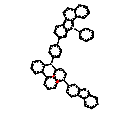 c1ccc(-c2ccccc2N(c2ccc(-c3ccc4c(c3)sc3ccccc34)cc2)c2ccc(-c3ccc4c5ccc6ccccc6c5n(-c5ccccc5)c4c3)cc2)cc1